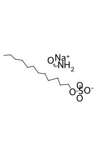 CCCCCCCCCCCCOS(=O)(=O)[O-].NC=O.[Na+]